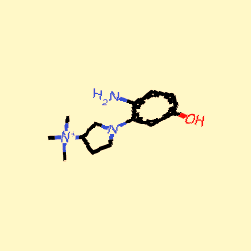 C[N+](C)(C)C1CCN(c2cc(O)ccc2N)C1